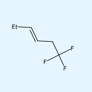 [CH2]CC=CCC(F)(F)F